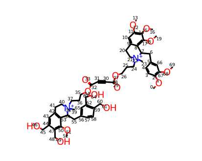 COc1ccc(CC2c3c(cc(OC)c(OC)c3OC)CC[N+]2(C)CCCOC(=O)C#CC(=O)OCCC[N+]2(C)CCc3cc(CO)c(CO)c(OC)c3C2Cc2ccc(CO)c(CO)c2)cc1OC